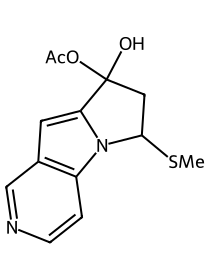 CSC1CC(O)(OC(C)=O)c2cc3cnccc3n21